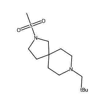 CC(C)(C)CN1CCC2(CC1)CCN(S(C)(=O)=O)C2